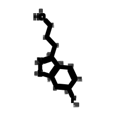 OCCCc1nsc2cc(F)ccc12